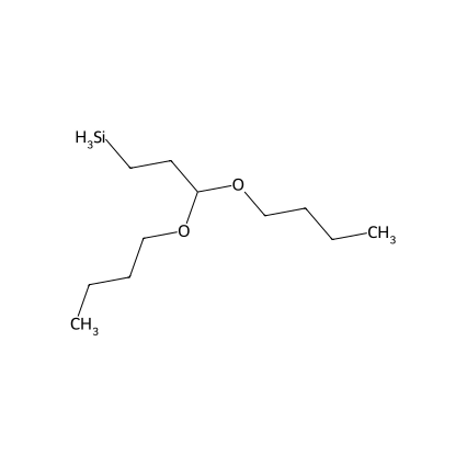 CCCCOC(CC[SiH3])OCCCC